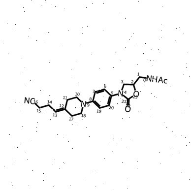 CC(=O)NCC1CN(c2ccc(N3CCC(=CCCC#N)CC3)cc2)C(=O)O1